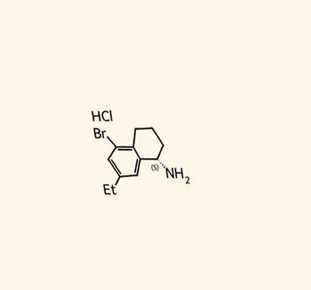 CCc1cc(Br)c2c(c1)[C@@H](N)CCC2.Cl